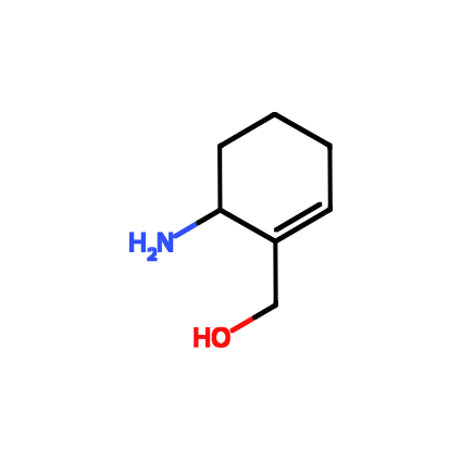 NC1CCCC=C1CO